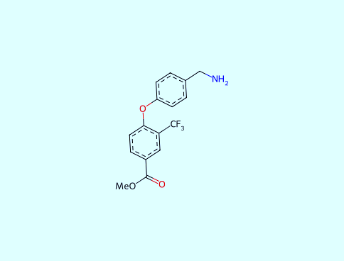 COC(=O)c1ccc(Oc2ccc(CN)cc2)c(C(F)(F)F)c1